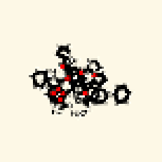 COC(=O)[C@]1(NC(c2cccs2)c2c(C3=NCCS3)[c]c(Cc3cccs3)c(C(NC3(c4ccc(C(=O)O)cc4)CCCCC3)c3cccs3)c2C(c2cccs2)N(C)C2(c3ccc(C(=O)O)cc3)CCCCC2)CC[C@H](c2ccccc2)CC1